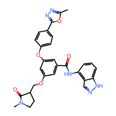 Cc1nnc(-c2ccc(Oc3cc(OCC4CCN(C)C4=O)cc(C(=O)Nc4cccc5[nH]ncc45)c3)cc2)o1